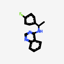 CC(Nc1ncnc2ccccc12)c1ccc(F)cc1